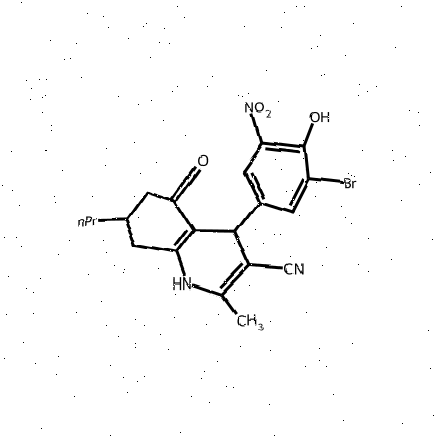 CCCC1CC(=O)C2=C(C1)NC(C)=C(C#N)C2c1cc(Br)c(O)c([N+](=O)[O-])c1